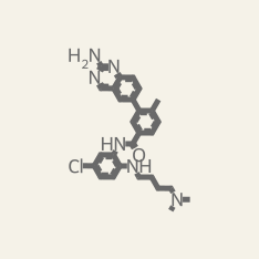 Cc1ccc(C(=O)Nc2cc(Cl)ccc2NCCCCN(C)C)cc1-c1ccc2nc(N)ncc2c1